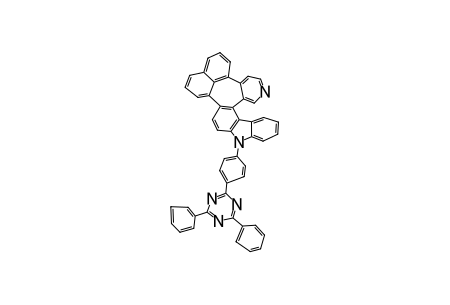 c1ccc(-c2nc(-c3ccccc3)nc(-c3ccc(-n4c5ccccc5c5c6c(ccc54)-c4cccc5cccc(c45)-c4ccncc4-6)cc3)n2)cc1